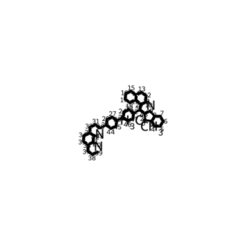 CC1(C)c2ccccc2-c2nc3ccc4ccccc4c3c(-c3ccc(-c4ccc(-c5ccc6ccc7cccnc7c6n5)cc4)cc3)c21